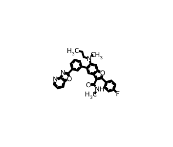 CCCN(C)c1cc2oc(-c3ccc(F)cc3)c(C(=O)NC)c2cc1-c1cccc(-c2nc3ncccc3o2)c1